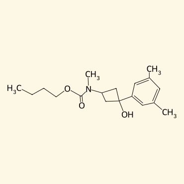 CCCCOC(=O)N(C)C1CC(O)(c2cc(C)cc(C)c2)C1